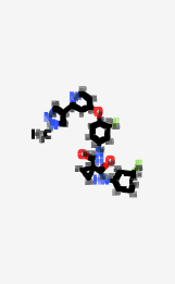 Cn1cc(-c2cc(Oc3ccc(NC(=O)C4(C(=O)Nc5cccc(F)c5)CC4)cc3F)ccn2)cn1